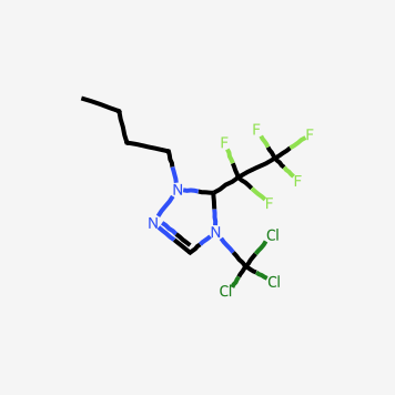 CCCCN1N=CN(C(Cl)(Cl)Cl)C1C(F)(F)C(F)(F)F